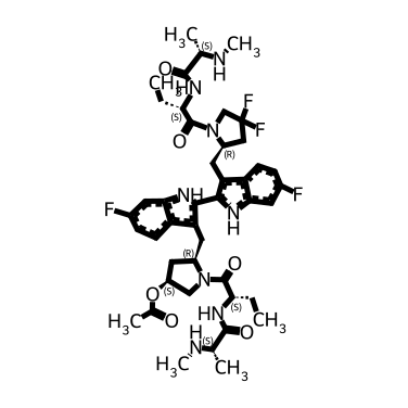 CC[C@H](NC(=O)[C@H](C)NC)C(=O)N1C[C@@H](OC(C)=O)C[C@H]1Cc1c(-c2[nH]c3cc(F)ccc3c2C[C@@H]2CC(F)(F)CN2C(=O)[C@H](CC)NC(=O)[C@H](C)NC)[nH]c2cc(F)ccc12